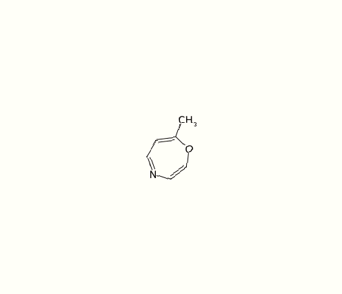 CC1=CC=NC=CO1